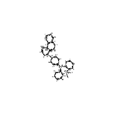 C[Si]1(C)c2ccccc2N(c2ccc(-c3ccnc4c3ccc3cccnc34)cc2)c2ccccc21